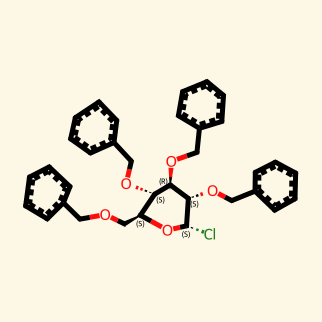 Cl[C@@H]1O[C@@H](COCc2ccccc2)[C@H](OCc2ccccc2)[C@@H](OCc2ccccc2)[C@@H]1OCc1ccccc1